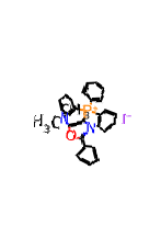 CN(C)c1oc(-c2ccccc2)nc1[P+](c1ccccc1)(c1ccccc1)c1ccccc1.[I-]